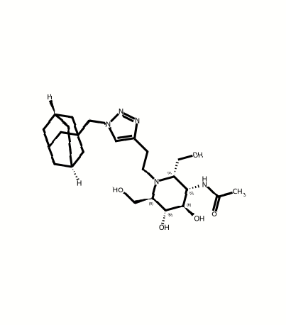 CC(=O)N[C@@H]1[C@@H](O)[C@H](O)[C@@H](CO)N(CCc2cn(CC34CC5C[C@H](C3)C[C@H](C5)C4)nn2)[C@@H]1CO